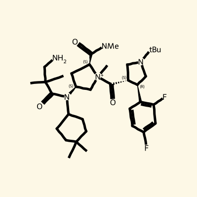 CNC(=O)[C@@H]1C[C@H](N(C(=O)C(C)(C)CN)C2CCC(C)(C)CC2)C[N+]1(C)C(=O)[C@@H]1CN(C(C)(C)C)C[C@H]1c1ccc(F)cc1F